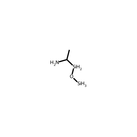 CC(N)[SiH2]O[SiH3]